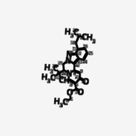 CCOC(=O)c1cn2c(cc1=O)-c1c3cccc(CC(C)C)c3nn1CC2C(C)(C)C